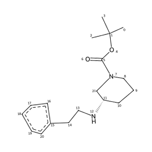 CC(C)(C)OC(=O)N1CCC[C@H](NCCc2ccccc2)C1